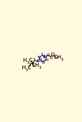 CCC(C)(C)CCN1CCN(CCOC)CC1